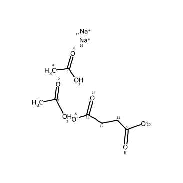 CC(=O)O.CC(=O)O.O=C([O-])CCC(=O)[O-].[Na+].[Na+]